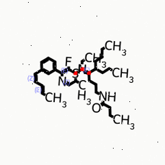 C/C=C/C=C\c1cccc(C(/N=C\C(C)SN(CC)CCCCNC(=O)CCC)=C(\F)C/N=C/C(CCC)CCCC)c1